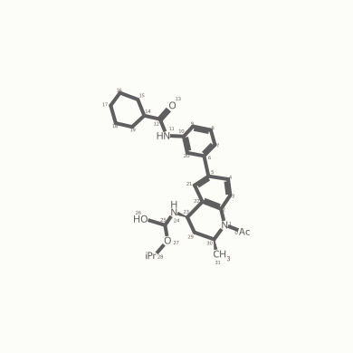 CC(=O)N1c2ccc(-c3cccc(NC(=O)C4CCCCC4)c3)cc2[C@H](NC(O)OC(C)C)C[C@@H]1C